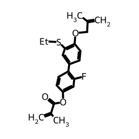 C=C(C)COc1ccc(-c2ccc(OC(=O)C(=C)C)cc2F)cc1SCC